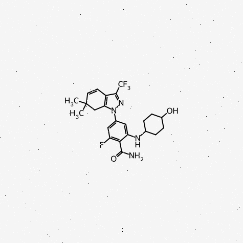 CC1(C)C=Cc2c(C(F)(F)F)nn(-c3cc(F)c(C(N)=O)c(NC4CCC(O)CC4)c3)c2C1